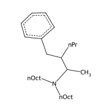 CCCCCCCCN(CCCCCCCC)C(C)C(CCC)Cc1ccccc1